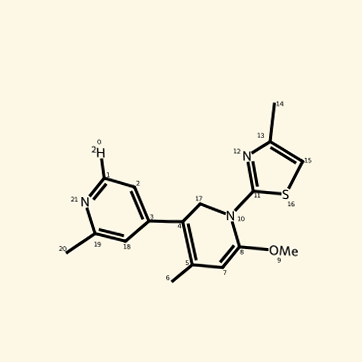 [2H]c1cc(C2=C(C)C=C(OC)N(c3nc(C)cs3)C2)cc(C)n1